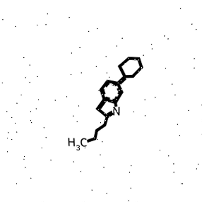 CCCCC1=Nc2cc(=C3CCCCC3)ccc2=C1